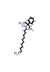 CCCCCCCCCCCCNC(CC)(CC)c1ccccc1